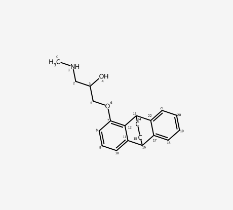 CNCC(O)COc1cccc2c1C1CCC2c2ccccc21